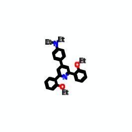 CCOc1ccccc1-c1cc(-c2ccc(N(CC)CC)cc2)cc(-c2ccccc2OCC)n1